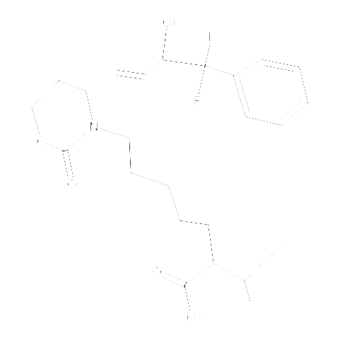 CC(C)C(CCCCCN1C(=O)OCC[C@@H]1/C=C/C(O)C(F)(F)c1ccccc1)C(=O)O